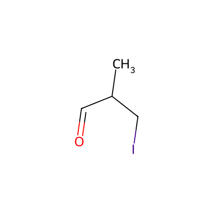 CC(C=O)CI